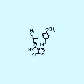 COC(=O)/C=C/C(=N)c1c(NCc2ccc(OC)cc2)ccnc1Cl